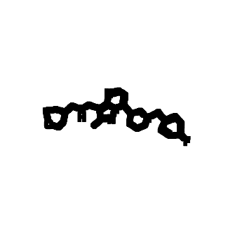 Cc1nn2c(C3CCCN(Cc4ccc(F)cc4)C3)ccnc2c1CNCC1CCOCC1